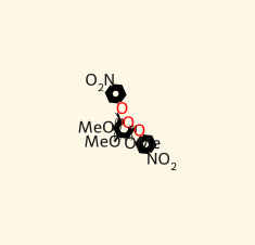 CO[C@H]1[C@@H](OC)[C@@H](COc2ccc([N+](=O)[O-])cc2)O[C@H](Oc2ccc([N+](=O)[O-])cc2)[C@@H]1OC